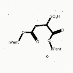 CCCCCOC(=O)CC(C(=O)OCCCCC)S(=O)(=O)O.[K]